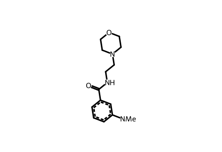 CNc1cccc(C(=O)NCCN2CCOCC2)c1